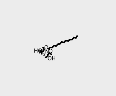 CCCCCCCCCCCCCCCC(N)(OC(C)CC(C)O)OC(C)CC(C)O